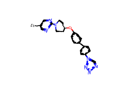 CCc1cnc(N2CCC(Oc3ccc(-c4ccc(-n5cnnn5)cc4)cc3)CC2)nc1